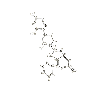 C[C@@H]1CN(c2ncc(Cl)cc2Cl)CCN1c1nc2cc(C(F)(F)F)cc(-c3cccnc3)c2[nH]1